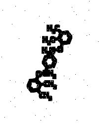 Cc1cccc(O[SiH2]c2ccc([SiH2]Oc3cccc(C)c3C)cc2)c1C